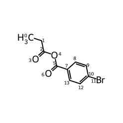 CCC(=O)OC(=O)c1ccc(Br)cc1